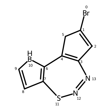 BrC1=CC2=C(C1)C1=C(C=CB1)SN=N2